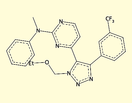 CCOCn1nnc(-c2cccc(C(F)(F)F)c2)c1-c1ccnc(N(C)c2ccccc2)n1